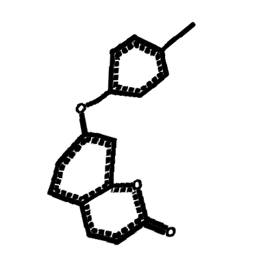 Cc1ccc(Oc2ccc3ccc(=O)oc3c2)cc1